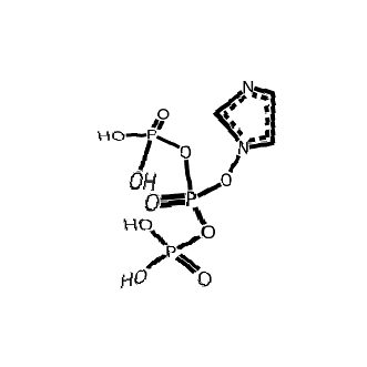 O=P(O)(O)OP(=O)(On1ccnc1)OP(=O)(O)O